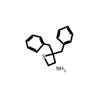 N.c1ccc(CC2(Cc3ccccc3)CCS2)cc1